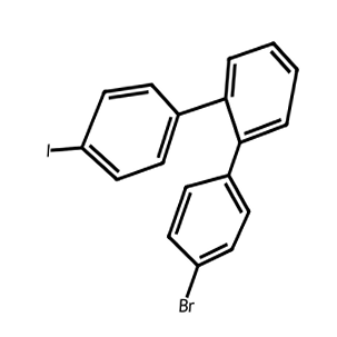 Brc1ccc(-c2ccccc2-c2ccc(I)cc2)cc1